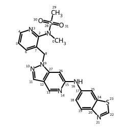 CN(c1ncccc1Cn1ncc2cnc(Nc3ccc4ncsc4c3)cc21)S(C)(=O)=O